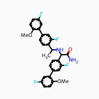 COc1ccc(F)cc1-c1ccc(C(C)NC(C(N)=O)c2ccc(-c3cc(F)ccc3OC)cc2F)c(F)c1